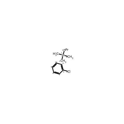 CC[CH2][Sn]([CH3])([CH3])[CH3].Clc1[c]cccc1